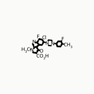 Cc1ccc(N2CCN(c3cc4c(ncc5c4c(=O)c(C(=O)O)cn5C)c(F)c3Cl)CC2)cc1F